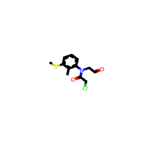 CSc1cccc(N(CC=O)C(=O)CCl)c1C